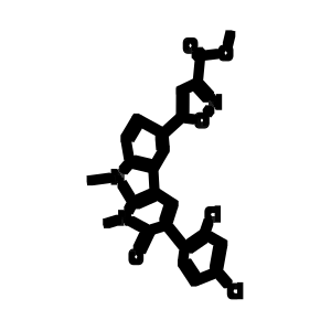 COC(=O)c1cc(-c2ccc3c(c2)c2cc(-c4ccc(Cl)cc4Cl)c(=O)n(C)c2n3C)on1